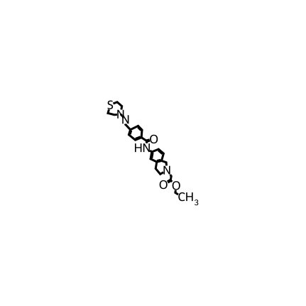 CCOC(=O)CN1CCc2cc(NC(=O)c3ccc(C=NN4CCSCC4)cc3)ccc2C1